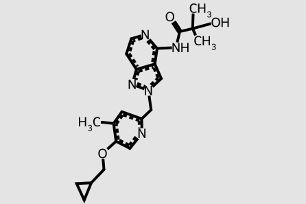 Cc1cc(Cn2cc3c(NC(=O)C(C)(C)O)nccc3n2)ncc1OCC1CC1